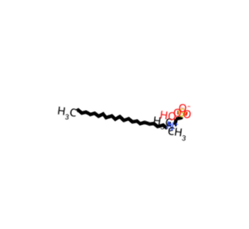 CCCCCCCCCCCCCCCCCCCCCCC[N+](C)(C)CC(O)CS(=O)(=O)[O-]